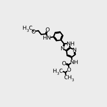 COCCC(=O)Nc1cccc(-c2nc3cc(NC(=O)OC(C)C)cnc3[nH]2)c1